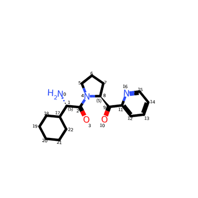 N[C@H](C(=O)N1CCC[C@H]1C(=O)c1ccccn1)C1CCCCC1